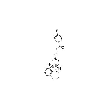 O=C(CCCN1CC[C@H]2[C@@H](C1)c1cccc3c1N2CCCC3)c1ccc(F)cc1